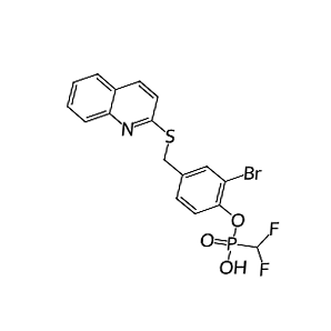 O=P(O)(Oc1ccc(CSc2ccc3ccccc3n2)cc1Br)C(F)F